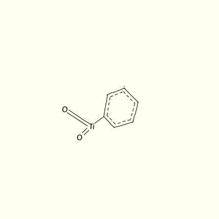 [O]=[Ti](=[O])[c]1c[c]ccc1